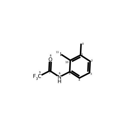 Cc1cccc(NC(=O)C(F)(F)F)c1I